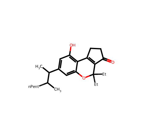 CCCCCC(C)C(C)c1cc(O)c2c(c1)OC(CC)(CC)C1=C2CCC1=O